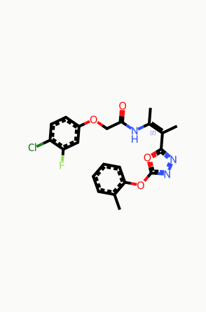 C/C(NC(=O)COc1ccc(Cl)c(F)c1)=C(\C)c1nnc(Oc2ccccc2C)o1